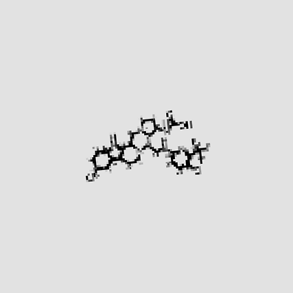 O=C(O)NC1CCN(CC2c3[nH]c4ccc(Cl)cc4c3CCN2CCNc2ccc(Cl)c(C(F)(F)F)n2)C1